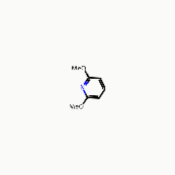 COc1[c]ccc(OC)n1